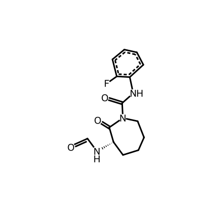 O=CN[C@H]1CCCCN(C(=O)Nc2ccccc2F)C1=O